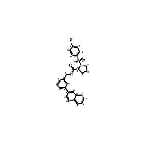 O=C(NCc1cccc(-c2cnc3ccccc3c2)c1)[C@@H]1CCCN1S(=O)(=O)c1ccc(F)cc1